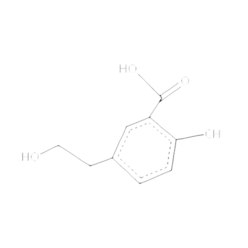 Cc1ccc(CCO)cc1C(=O)O